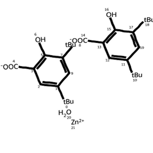 CC(C)(C)c1cc(C(=O)[O-])c(O)c(C(C)(C)C)c1.CC(C)(C)c1cc(C(=O)[O-])c(O)c(C(C)(C)C)c1.O.[Zn+2]